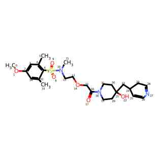 COc1cc(C)c(S(=O)(=O)N(C)CCOCC(=O)N2CCC(O)(CC3C=CN=CC3)CC2)c(C)c1